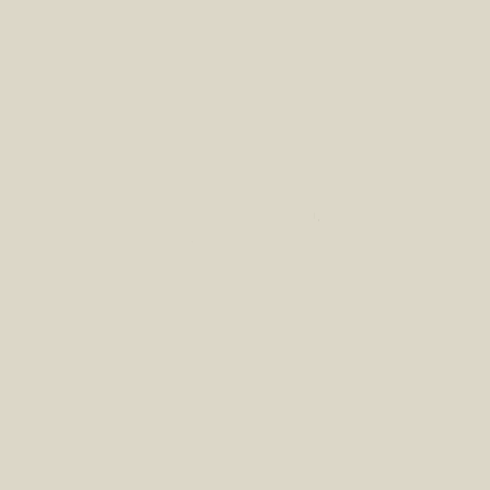 CC=CC(F)(F)C(=O)O